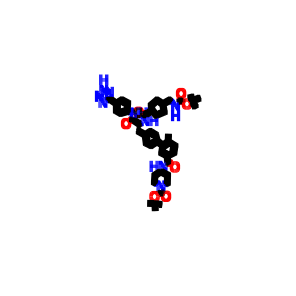 Cc1ccc(C(=O)NC2CCN(C(=O)OC(C)(C)C)CC2)cc1-c1ccc(C[C@H](NC(=O)C2CCC(CNC(=O)OC(C)(C)C)CC2)C(=O)Nc2ccc(-c3nn[nH]n3)cc2)cc1